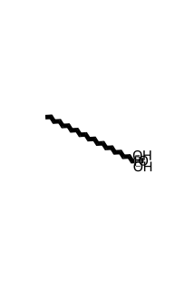 CCCCCCCCCCCCCCCCCCCCCP(=O)(O)O